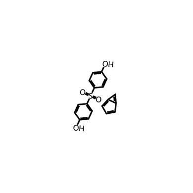 O=S(=O)(c1ccc(O)cc1)c1ccc(O)cc1.c1cc2cc-2c1